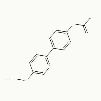 CCCCCCCOc1ccc(-c2ccc(OC(=O)C(C)CC)cc2)nc1